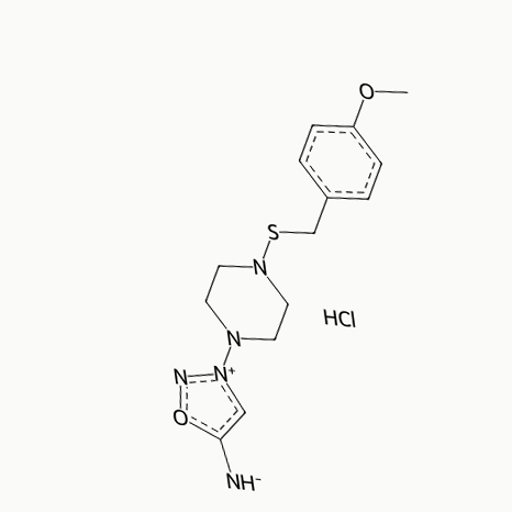 COc1ccc(CSN2CCN([n+]3cc([NH-])on3)CC2)cc1.Cl